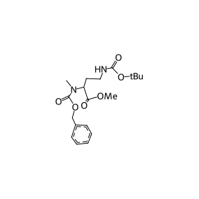 COC(=O)C(CCNC(=O)OC(C)(C)C)N(C)C(=O)OCc1ccccc1